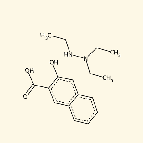 CCNN(CC)CC.O=C(O)c1cc2ccccc2cc1O